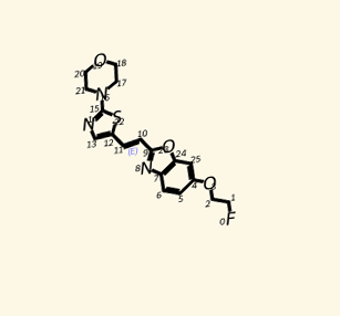 FCCOc1ccc2nc(/C=C/c3cnc(N4CCOCC4)s3)oc2c1